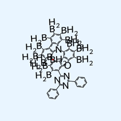 Bc1c(B)c(-n2c3c(B)c(B)c(B)c(B)c3c3c(B)c(B)c(B)c(B)c32)c2c(oc3c(-c4nc(-c5ccccc5)nc(-c5ccccc5)n4)c(B)c(B)c(B)c32)c1B